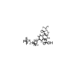 CC(C)CC(=O)N1c2ccc(-c3cnn(CCC(F)(F)F)c3)cc2N(C(=O)O)C[C@@H]1C